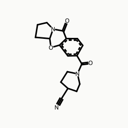 N#CC1CCN(C(=O)c2ccc3c(c2)OC2CCCN2C3=O)CC1